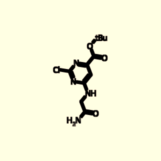 CC(C)(C)OC(=O)c1cc(NCC(N)=O)nc(Cl)n1